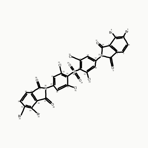 O=C1c2ccc(Br)c(Br)c2C(=O)N1c1cc(Cl)c(S(=O)(=O)c2c(Cl)cc(N3C(=O)c4ccc(Br)c(Br)c4C3=O)cc2Cl)c(Cl)c1